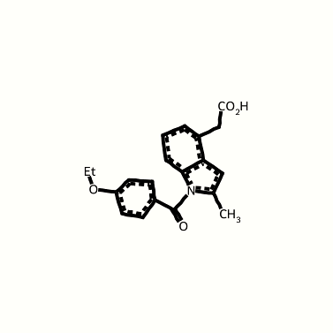 CCOc1ccc(C(=O)n2c(C)cc3c(CC(=O)O)cccc32)cc1